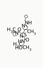 Cc1cc(NCC2CCC2)ncc1-c1sc(C(=O)NCC(C)(C)O)nc1C(=O)N1CCC[C@@H]1C